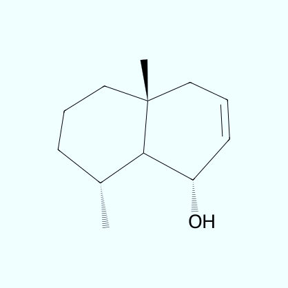 C[C@@H]1CCC[C@]2(C)CC=C[C@H](O)C12